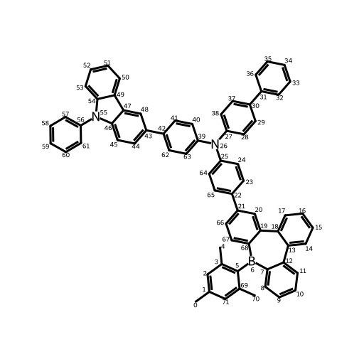 Cc1cc(C)c(B2c3ccccc3-c3ccccc3-c3cc(-c4ccc(N(c5ccc(-c6ccccc6)cc5)c5ccc(-c6ccc7c(c6)c6ccccc6n7-c6ccccc6)cc5)cc4)ccc32)c(C)c1